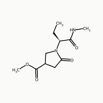 CC[C@@H](C(=O)NC)N1CC(C(=O)OC)CC1=O